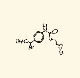 CCOCCOC(=O)Nc1ccc(C(Br)C=O)cc1